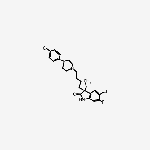 CCC1(CCCCN2CCN(c3ccc(Cl)cc3)CC2)C(=O)Nc2cc(F)c(Cl)cc21